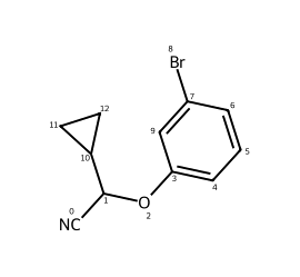 N#CC(Oc1cccc(Br)c1)C1CC1